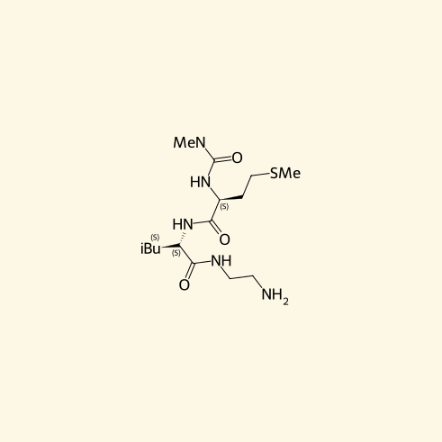 CC[C@H](C)[C@H](NC(=O)[C@H](CCSC)NC(=O)NC)C(=O)NCCN